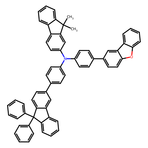 CC1(C)c2ccccc2-c2ccc(N(c3ccc(-c4ccc5c(c4)-c4ccccc4C5(c4ccccc4)c4ccccc4)cc3)c3ccc(-c4ccc5oc6ccccc6c5c4)cc3)cc21